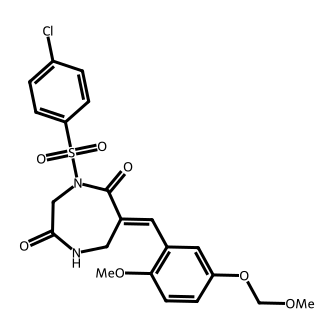 COCOc1ccc(OC)c(C=C2CNC(=O)CN(S(=O)(=O)c3ccc(Cl)cc3)C2=O)c1